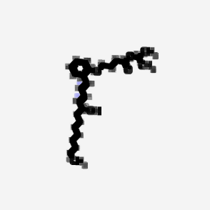 CCCCCCCC[C@H](O)/C=C/C=C/c1ccccc1OCCCC(=O)OC(C)C